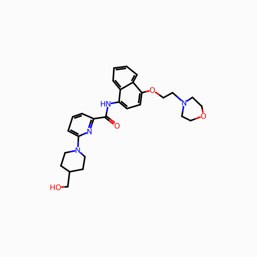 O=C(Nc1ccc(OCCN2CCOCC2)c2ccccc12)c1cccc(N2CCC(CO)CC2)n1